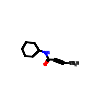 O=C(O)C#CC(=O)NC1CCCCC1